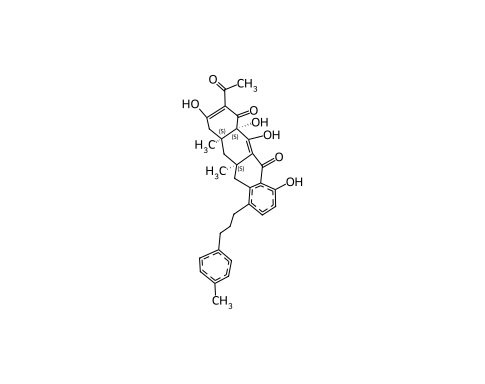 CC(=O)C1=C(O)C[C@]2(C)C[C@]3(C)Cc4c(CCCc5ccc(C)cc5)ccc(O)c4C(=O)C3=C(O)[C@]2(O)C1=O